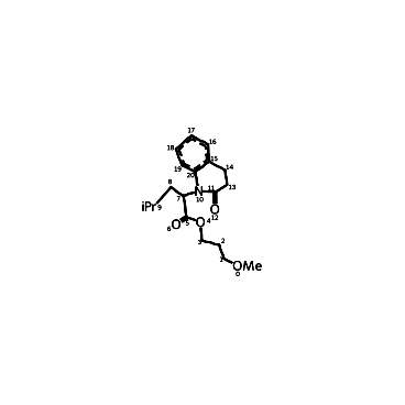 COCCCOC(=O)C(CC(C)C)N1C(=O)CCc2ccccc21